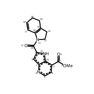 COC(=O)c1ccnc2cc(C(=O)N3CCC4=C3C=CCC4)[nH]c12